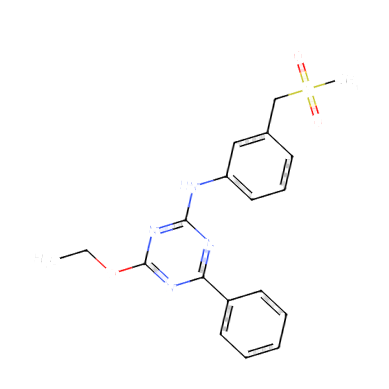 CCOc1nc(Nc2cccc(CS(C)(=O)=O)c2)nc(-c2ccccc2)n1